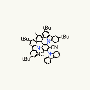 Cc1ccc(-c2c(-n3c4c(c5cc(C(C)(C)C)ccc53)CC(C(C)(C)C)C=C4)c(C#N)c(-n3c4ccccc4c4ccccc43)c(C#N)c2-n2c3c(c4cc(C(C)(C)C)ccc42)C=C(C(C)(C)C)CC3)cc1